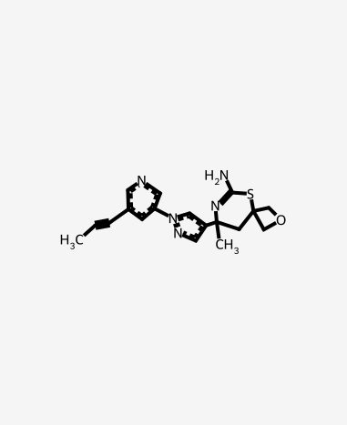 CC#Cc1cncc(-n2cc(C3(C)CC4(COC4)SC(N)=N3)cn2)c1